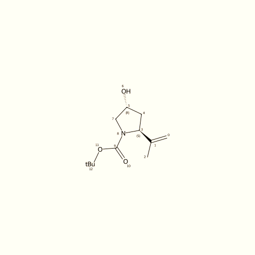 C=C(C)[C@@H]1C[C@@H](O)CN1C(=O)OC(C)(C)C